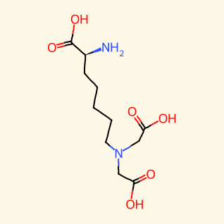 N[C@@H](CCCCCN(CC(=O)O)CC(=O)O)C(=O)O